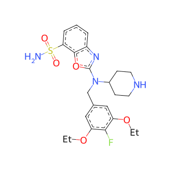 CCOc1cc(CN(c2nc3cccc(S(N)(=O)=O)c3o2)C2CCNCC2)cc(OCC)c1F